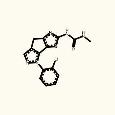 CNC(=O)Nc1nc2c(s1)-c1c(cnn1-c1ccccc1Cl)C2